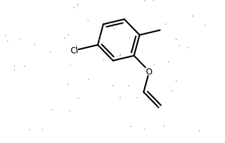 C=COc1cc(Cl)ccc1C